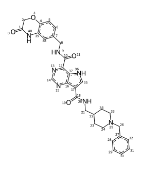 O=C1COc2ccc(CNC(=O)c3ncnc4c(C(=O)NCC5CCN(Cc6ccccc6)CC5)c[nH]c34)cc2N1